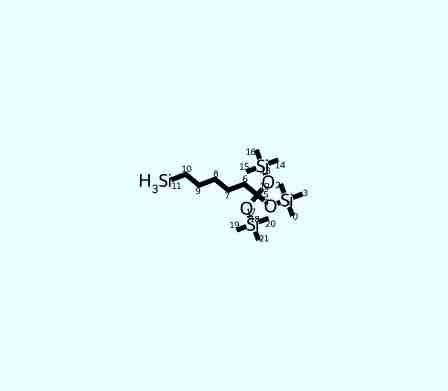 C[Si](C)(C)OC(CCCCC[SiH3])(O[Si](C)(C)C)O[Si](C)(C)C